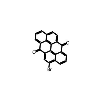 O=c1c2cc(Br)c3cccc4c(=O)c5ccc6cccc1c6c5-c2c34